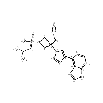 CC(C)N=[S@](C)(=O)N1CC(CC#N)(n2cc(-c3ncnc4[nH]ccc34)cn2)C1